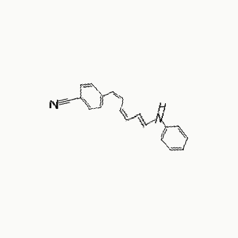 N#Cc1ccc(\C=C/C=C\C=C\Nc2ccccc2)cc1